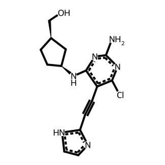 Nc1nc(Cl)c(C#Cc2ncc[nH]2)c(N[C@H]2CC[C@@H](CO)C2)n1